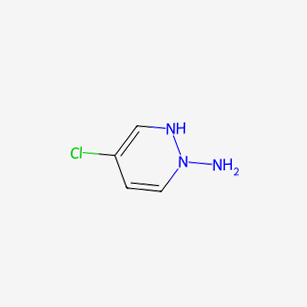 NN1C=CC(Cl)=CN1